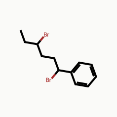 CCC(Br)CCC(Br)c1ccccc1